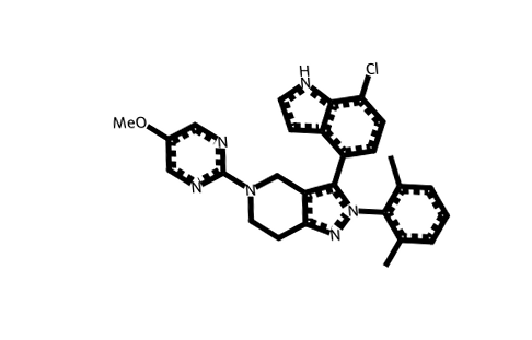 COc1cnc(N2CCc3nn(-c4c(C)cccc4C)c(-c4ccc(Cl)c5[nH]ccc45)c3C2)nc1